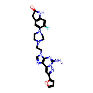 Nc1nc2c(ncn2CCN2CCN(c3cc4c(cc3F)NC(=O)C4)CC2)c2cc(-c3ccco3)nn12